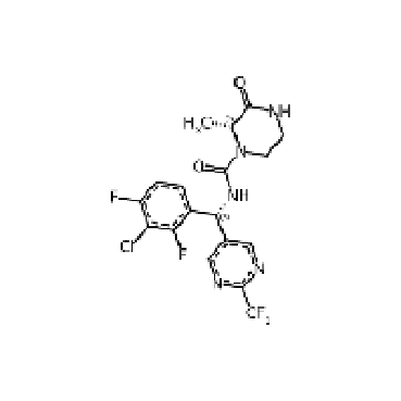 C[C@@H]1C(=O)NCCN1C(=O)N[C@H](c1cnc(C(F)(F)F)nc1)c1ccc(F)c(Cl)c1F